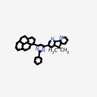 CC1(C)c2cccnc2-c2ncc(-c3cc(-c4ccc5ccc6cccc7ccc4c5c67)nc(-c4ccccc4)n3)cc21